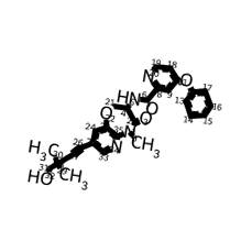 CN1C(=O)C(NC(=O)c2cc(Oc3ccccc3)ccn2)COc2cc(C#CC(C)(C)CO)cnc21